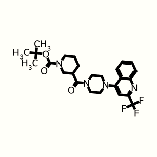 CC(C)(C)OC(=O)N1CCCC(C(=O)N2CCN(c3cc(C(F)(F)F)nc4ccccc34)CC2)C1